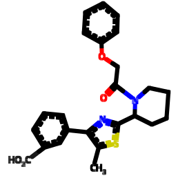 Cc1sc(C2CCCCN2C(=O)COc2ccccc2)nc1-c1cccc(C(=O)O)c1